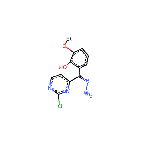 CCOc1cccc(C(=NN)c2ccnc(Cl)n2)c1O